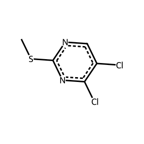 CSc1ncc(Cl)c(Cl)n1